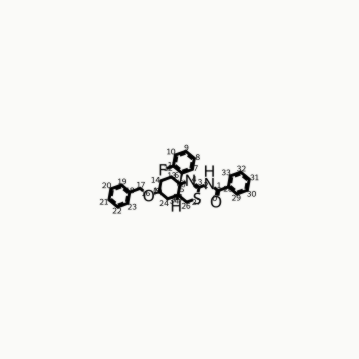 O=C(NC1=N[C@@]2(c3ccccc3F)CC[C@H](OCc3ccccc3)C[C@H]2CS1)c1ccccc1